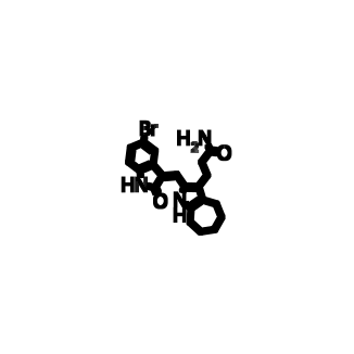 NC(=O)CCc1c(/C=C2\C(=O)Nc3ccc(Br)cc32)[nH]c2c1CCCCC2